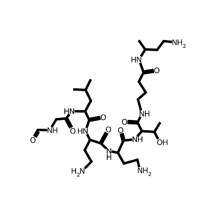 CC(C)CC(NC(=O)CNC=O)C(=O)NC(CCN)C(=O)NC(CCN)C(=O)NC(C(=O)NCCCC(=O)NC(C)CCN)C(C)O